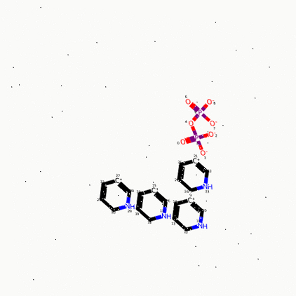 O=P([O-])([O-])OP(=O)([O-])[O-].[C+]1=CNCC=C1.[C+]1=CNCC=C1.[C+]1=CNCC=C1.[C+]1=CNCC=C1